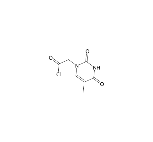 Cc1cn(CC(=O)Cl)c(=O)[nH]c1=O